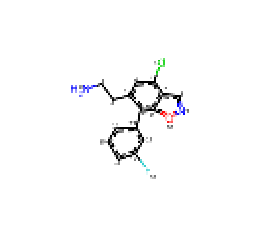 NCCc1cc(Cl)c2cnoc2c1-c1cccc(F)c1